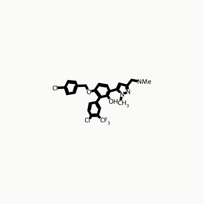 CNCc1cc(-c2ccc(OCc3ccc(Cl)cc3)c(-c3ccc(Cl)c(C(F)(F)F)c3)c2O)n(C)n1